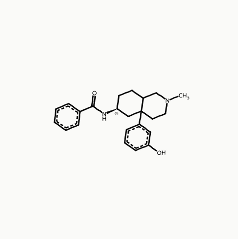 CN1CCC2(c3cccc(O)c3)C[C@@H](NC(=O)c3ccccc3)CCC2C1